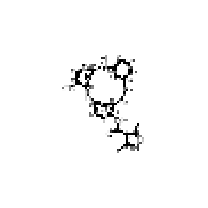 Cc1noc(C)c1C(=O)Nc1ccc2cc1CCc1cccc(c1)Nc1ncc(Cl)c(n1)N2